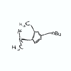 CCCCc1ccc(N(C)C(C)=O)c(C)c1